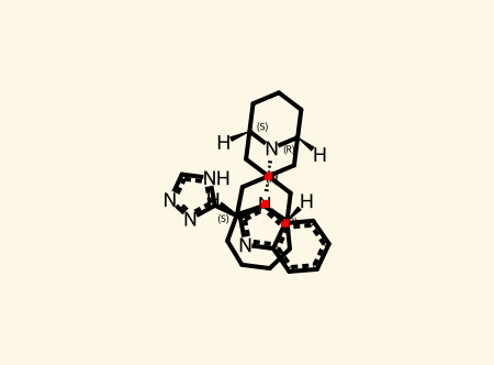 c1ccc2c(c1)nc(-c1nnc[nH]1)n2[C@H]1C[C@H]2CCC[C@@H](C1)N2[C@@H]1C[C@@H]2CCCC[C@@H](C2)C1